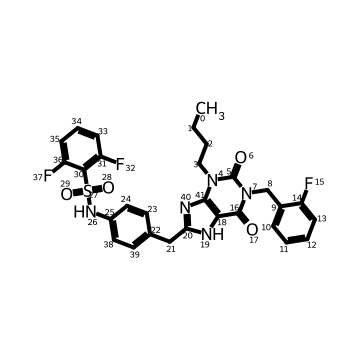 CCCCn1c(=O)n(Cc2ccccc2F)c(=O)c2[nH]c(Cc3ccc(NS(=O)(=O)c4c(F)cccc4F)cc3)nc21